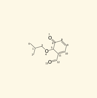 CC(C)COC1C(=O)C=CC=C1C=O